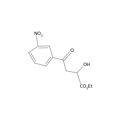 CCOC(=O)C(O)CC(=O)c1cccc([N+](=O)[O-])c1